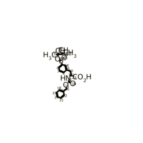 CC1(C)OB(c2cccc(C[C@H](NC(=O)OCc3ccccc3)C(=O)O)c2)OC1(C)C